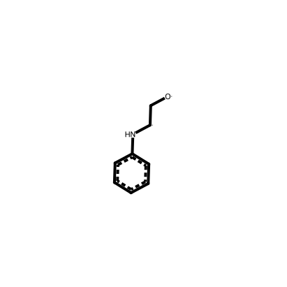 [O]C[CH]Nc1ccccc1